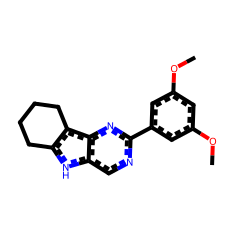 COc1cc(OC)cc(-c2ncc3[nH]c4c(c3n2)CCCC4)c1